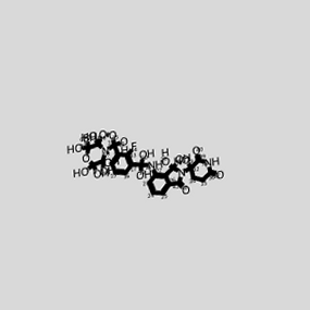 BC1(O)OC(O)(O)C(O)(O)N2C(O)(c3cccc(C(O)(O)Nc4cccc5c4C(O)(O)N(C4(O)CCC(=O)NC4=O)C5=O)c3F)OOC21O